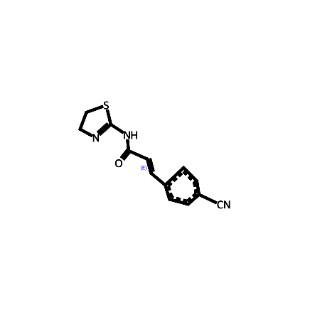 N#Cc1ccc(/C=C/C(=O)NC2=NCCS2)cc1